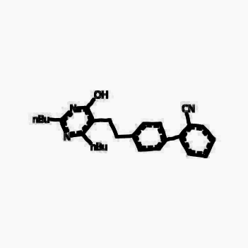 CCCCc1nc(O)c(CCc2ccc(-c3ccccc3C#N)cc2)c(CCCC)n1